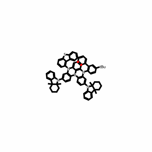 Cc1cc2c3c(c1)N(c1cccc4sc5ccccc5c14)c1cc(N4c5ccccc5C5(C)CCCCC45C)ccc1B3c1ccc(N3c4ccccc4C4(C)CCCCC34C)cc1N2c1ccc(C(C)(C)C)cc1-c1ccccc1